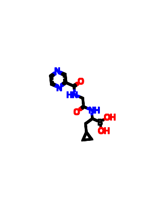 O=C(CNC(=O)c1cnccn1)NC(CC1CC1)B(O)O